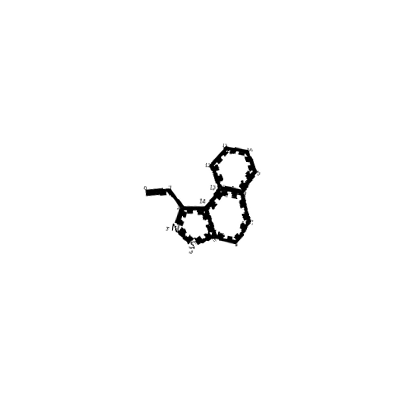 C=Cc1nsc2ccc3ccccc3c12